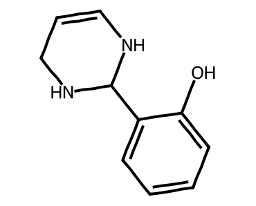 Oc1ccccc1C1NC=CCN1